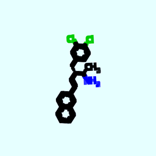 C[C@H](N)[C@H](/C=C/c1ccc2ccccc2c1)Cc1ccc(Cl)c(Cl)c1